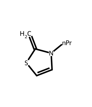 C=C1SC=CN1CCC